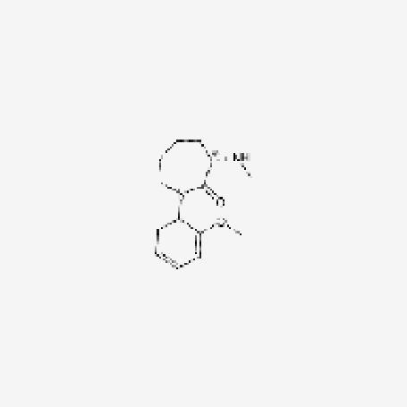 CN[C@H]1CCCCN(C2CC=CC=C2OC)C1=O